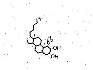 CC(C)CCC[C@@H](C)[C@H]1CCC2C3CCC4C[C@@H](O)[C@@H](O)[C@H](N)[C@]4(C)C3CC[C@@]21C